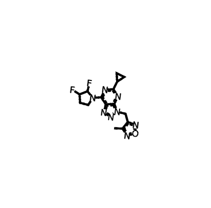 Cc1nonc1Cn1nnc2c(N3CCC(F)C3F)nc(C3CC3)nc21